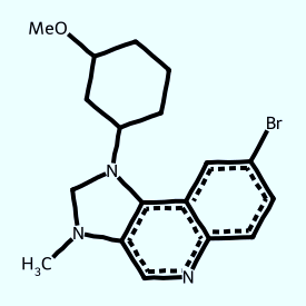 COC1CCCC(N2CN(C)c3cnc4ccc(Br)cc4c32)C1